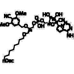 CCCCCCCCCCCCCCCCCCOC[C@H](COP(=O)(O)OC[C@H]1O[C@@](C#N)(c2ccc3c(N)ncnn23)[C@H](O)[C@@H]1O)OCc1cc(OC)c(C#N)c(OC)c1